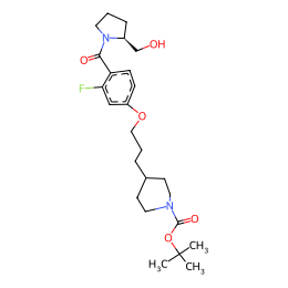 CC(C)(C)OC(=O)N1CCC(CCCOc2ccc(C(=O)N3CCC[C@H]3CO)c(F)c2)CC1